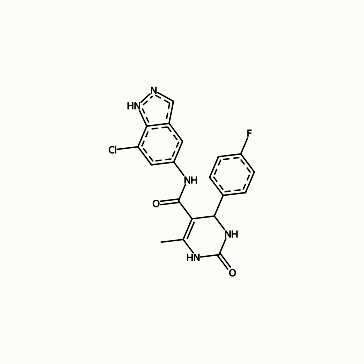 CC1=C(C(=O)Nc2cc(Cl)c3[nH]ncc3c2)C(c2ccc(F)cc2)NC(=O)N1